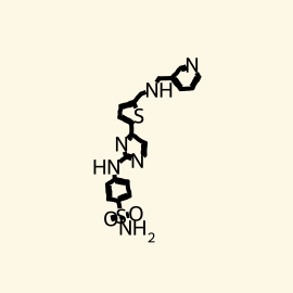 NS(=O)(=O)c1ccc(Nc2nccc(-c3ccc(CNCc4cccnc4)s3)n2)cc1